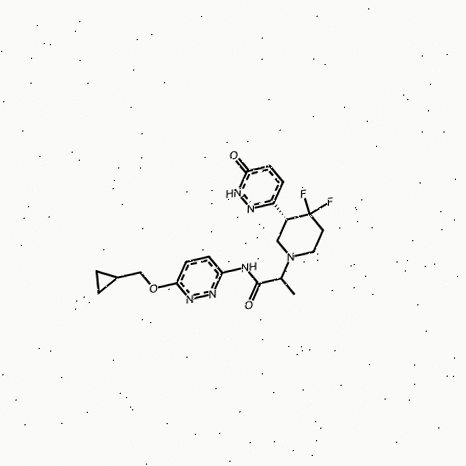 CC(C(=O)Nc1ccc(OCC2CC2)nn1)N1CCC(F)(F)[C@@H](c2ccc(=O)[nH]n2)C1